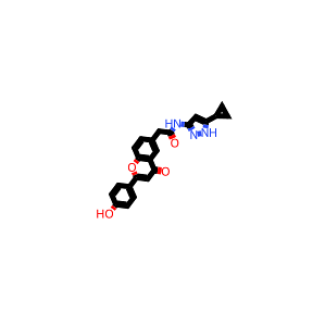 O=C(Cc1ccc2oc(-c3ccc(O)cc3)cc(=O)c2c1)Nc1cc(C2CC2)[nH]n1